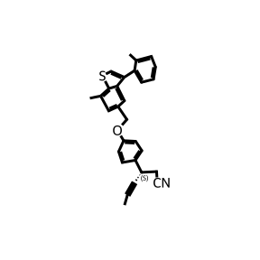 CC#C[C@@H](CC#N)c1ccc(OCc2cc(C)c3scc(-c4ccccc4C)c3c2)cc1